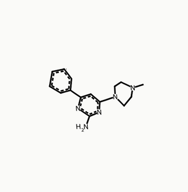 CN1CCN(c2cc(-c3c[c]ccc3)nc(N)n2)CC1